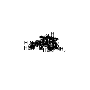 C=CCC[C@H](NC(=O)[C@H](CCNC(=O)[C@@H](NC(=O)[C@H](CCN)NC(=O)[C@@H](C)CCN)C(C)O)NC(=O)[C@H](CCC=C)NC(=O)[C@@H](NC(=O)[C@H](CCN)NC(=O)CCC(=O)O)C(C)O)C(=O)NCC(=O)N[C@@H](CC(C)C)C(C)=O